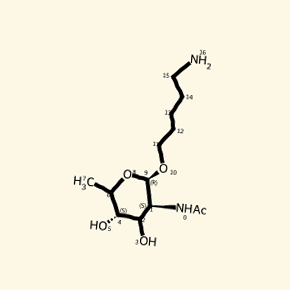 CC(=O)N[C@H]1C(O)[C@H](O)C(C)O[C@H]1OCCCCCN